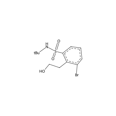 CC(C)(C)NS(=O)(=O)c1cccc(Br)c1CCO